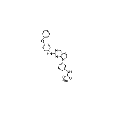 CC(C)(C)OC(=O)Nc1cccc(-n2cnc3cnc(Nc4ccc(Oc5ccccc5)cc4)nc32)c1